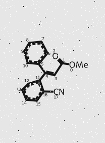 COC(=O)/C=C(\c1ccccc1)c1ccccc1C#N